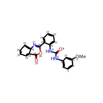 COc1cccc(NC(=O)Nc2ccccc2-c2nc3ccccc3c(=O)o2)c1